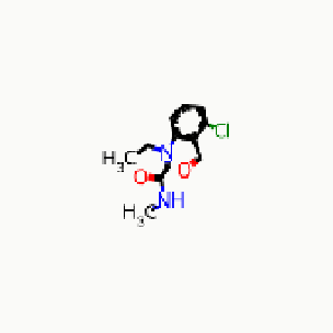 CCN(CC(=O)NC)c1cccc(Cl)c1C=O